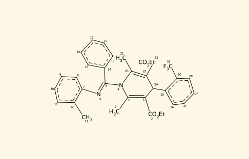 CCOC(=O)C1=C(C)N(C(=Nc2ccccc2C)c2ccccc2)C(C)=C(C(=O)OCC)C1c1ccccc1C(F)(F)F